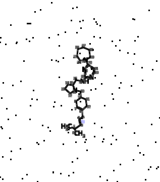 CC(C)/C=C/CC1=CCC(CN2CCCC2CNc2nccc(N3CCCCCC3)n2)CC1